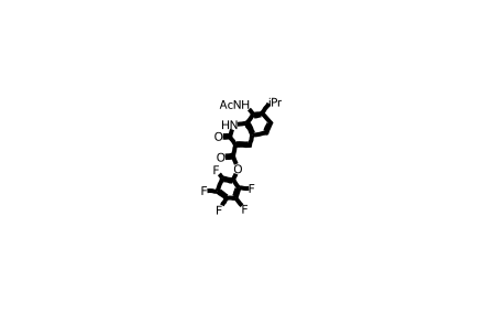 CC(=O)Nc1c(C(C)C)ccc2cc(C(=O)Oc3c(F)c(F)c(F)c(F)c3F)c(=O)[nH]c12